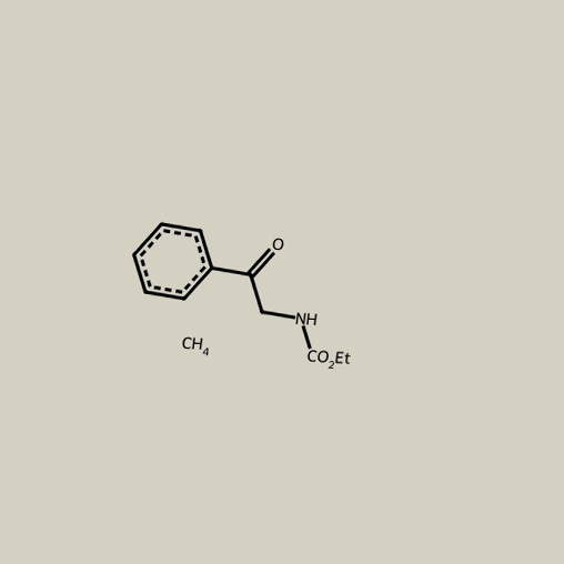 C.CCOC(=O)NCC(=O)c1ccccc1